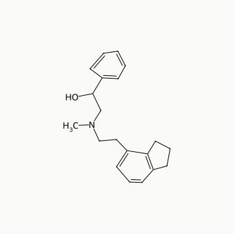 CN(CCc1cccc2c1CCC2)CC(O)c1ccccc1